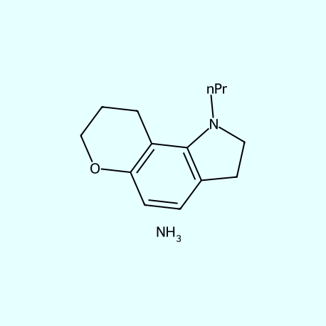 CCCN1CCc2ccc3c(c21)CCCO3.N